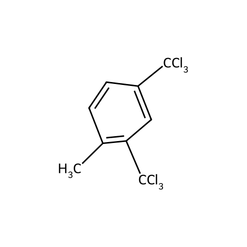 Cc1ccc(C(Cl)(Cl)Cl)cc1C(Cl)(Cl)Cl